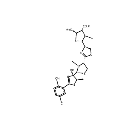 CO[C@@H]1S[C@@H]([C@H]2CSC([C@@H]3CS[C@H]([C@@]4(O)N=C(c5cc(Cl)ccc5O)O[C@@H]4C)N3C)=N2)N(C)[C@H]1C(=O)O